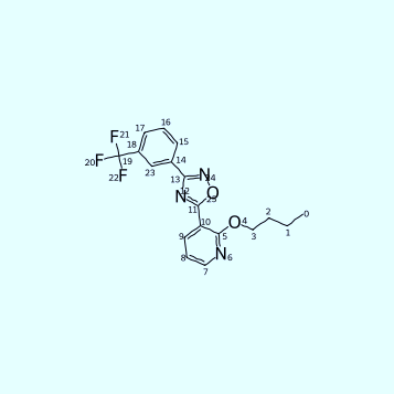 CCCCOc1ncccc1-c1nc(-c2cccc(C(F)(F)F)c2)no1